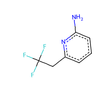 Nc1cccc(CC(F)(F)F)n1